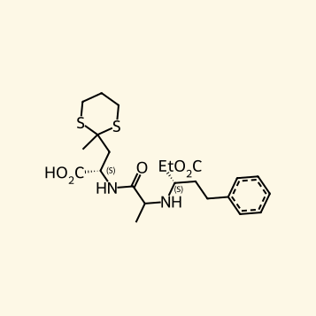 CCOC(=O)[C@H](CCc1ccccc1)NC(C)C(=O)N[C@@H](CC1(C)SCCCS1)C(=O)O